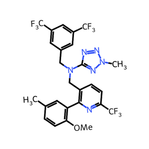 COc1ccc(C)cc1-c1nc(C(F)(F)F)ccc1CN(Cc1cc(C(F)(F)F)cc(C(F)(F)F)c1)c1nnn(C)n1